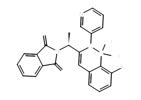 C[C@@H](C1=Cc2cccc(F)c2S(O)(O)N1c1cccnc1)N1C(=O)c2ccccc2C1=O